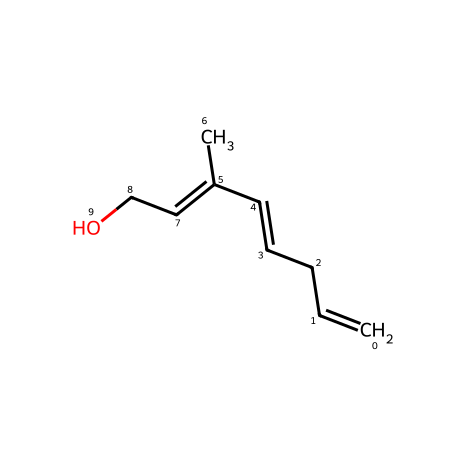 C=CCC=CC(C)=CCO